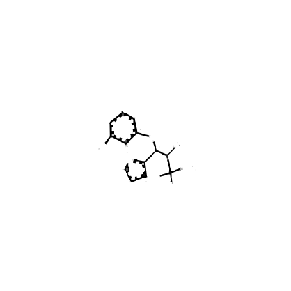 CC(C)(C)C(N)C(Oc1cccc(F)c1)c1ccco1